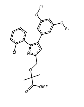 CCOc1cc(OCC)cc(-c2cc(COC(C)(C)C(=O)OC)nn2-c2ccccc2Cl)c1